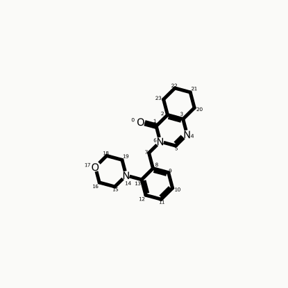 O=c1c2c(ncn1Cc1ccccc1N1CCOCC1)CCCC2